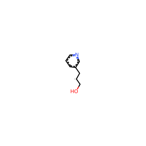 OC[CH]Cc1cccnc1